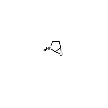 C=[PH]1CCC2OC21